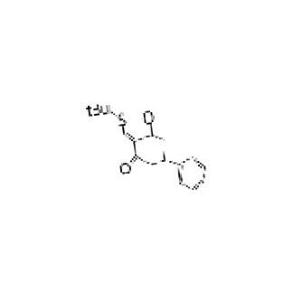 CC(C)(C)SC=C1C(=O)CC(c2ccccc2)CC1=O